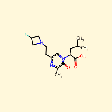 Cc1nc(CCN2CC(F)C2)cn([C@@H](CC(C)C)C(=O)O)c1=O